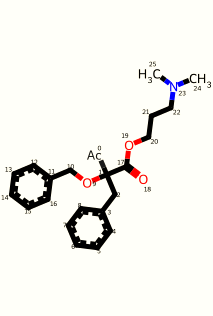 CC(=O)C(Cc1ccccc1)(OCc1ccccc1)C(=O)OCCCN(C)C